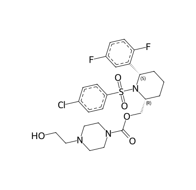 O=C(OC[C@H]1CCC[C@@H](c2cc(F)ccc2F)N1S(=O)(=O)c1ccc(Cl)cc1)N1CCN(CCO)CC1